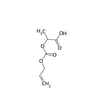 C=CCOC(=O)OC(C)C(=O)O